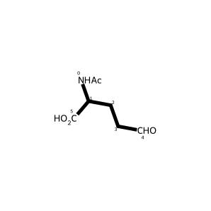 CC(=O)NC(CCC=O)C(=O)O